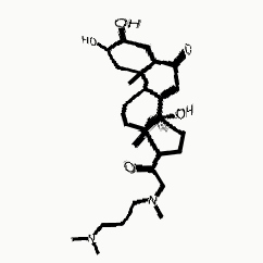 CN(C)CCCN(C)CC(=O)C1CC[C@@]2(O)C3=CC(=O)C4CC(O)C(O)CC4(C)C3CCC12C